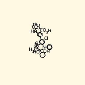 CN1[C@@](O)(C2CCCCC2)C(O)N(c2ccccc2)c2cc(Cl)c(-c3cc(NC(=O)OC(C)(C)C)c(C(=O)O)s3)cc2S1(=O)=O